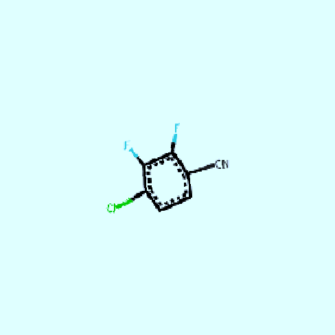 N#Cc1ccc(Cl)c(F)c1F